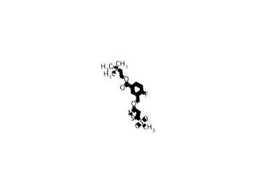 C[Si](C)(C)CCOC(=O)c1ccc(F)c(COc2cc(S(C)(=O)=O)sn2)c1